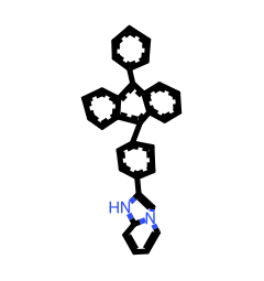 C1=CC2NC(c3ccc(-c4c5ccccc5c(-c5ccccc5)c5ccccc45)cc3)=CN2C=C1